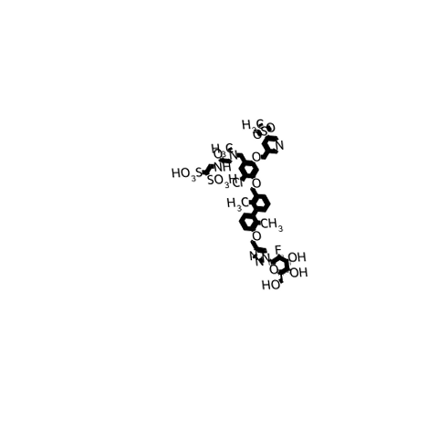 Cc1c(COc2cc(OCc3cncc(S(C)(=O)=O)c3)c(CN(C)CC(=O)NCC(S(=O)(=O)O)S(=O)(=O)O)cc2Cl)cccc1-c1cccc(OCc2cn([C@@H]3O[C@H](CO)[C@@H](O)[C@H](O)[C@H]3F)nn2)c1C